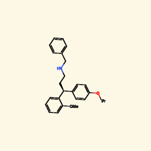 COc1ccccc1[C@@H](CCNCc1ccccc1)c1ccc(OC(C)C)cc1